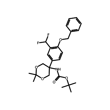 CC(C)(C)OC(=O)NC1(c2ccc(OCc3ccccc3)c(C(F)F)c2)COC(C)(C)OC1